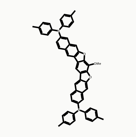 COc1c2oc3cc4cc(N(c5ccc(C)cc5)c5ccc(C)cc5)ccc4cc3c2cc2c1oc1cc3cc(N(c4ccc(C)cc4)c4ccc(C)cc4)ccc3cc12